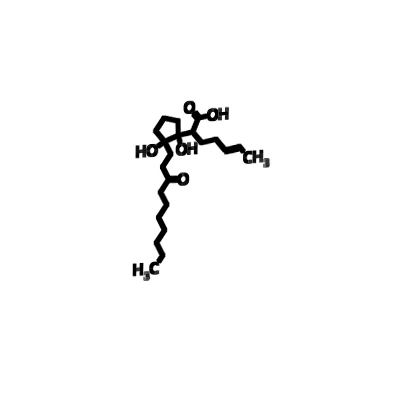 CC=CCCC(C(=O)O)C1(O)CCCC1(O)CCC(=O)CCCCCCC